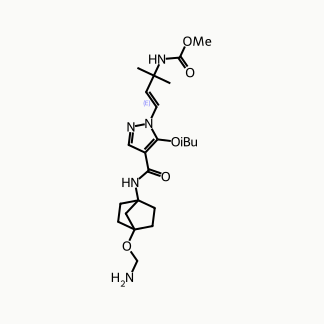 COC(=O)NC(C)(C)/C=C/n1ncc(C(=O)NC23CCC(OCN)(CC2)C3)c1OCC(C)C